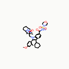 COc1ccc(-c2c(C3CCCCC3)c3ccc(C(=O)NS(=O)(=O)N4CCOCC4)cc3n2CC(C)(C)C(=O)N2C3CCCC2CN(C)C3)c(C)c1